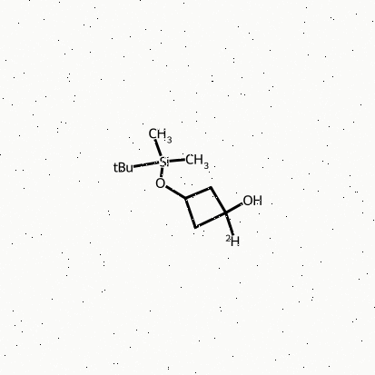 [2H]C1(O)CC(O[Si](C)(C)C(C)(C)C)C1